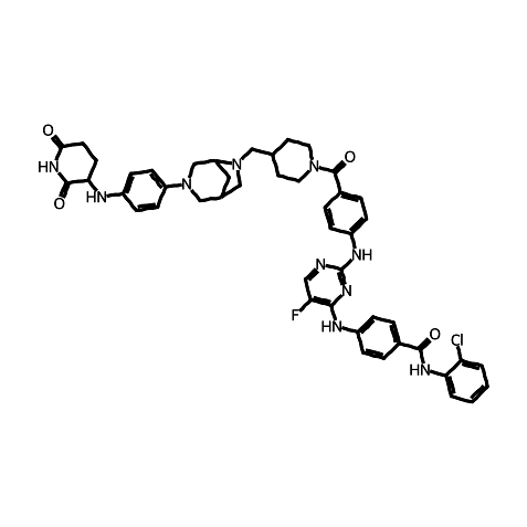 O=C1CCC(Nc2ccc(N3CC4CC(C3)N(CC3CCN(C(=O)c5ccc(Nc6ncc(F)c(Nc7ccc(C(=O)Nc8ccccc8Cl)cc7)n6)cc5)CC3)C4)cc2)C(=O)N1